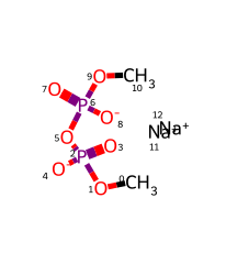 COP(=O)([O-])OP(=O)([O-])OC.[Na+].[Na+]